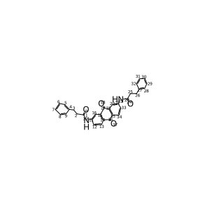 O=C(CCc1ccccc1)Nc1ccc2c(c1)C(=O)c1cc(NC(=O)CCc3ccccc3)ccc1C2=O